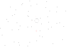 COc1ccc(F)cc1[C@H](CC(C)C)O[C@H]1CC[C@@H](O)CC1